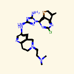 Cc1csc2c(-n3nc(Nc4cnc5c(c4)CN(CCN(C)C)CC5)nc3N)nc(Cl)nc12